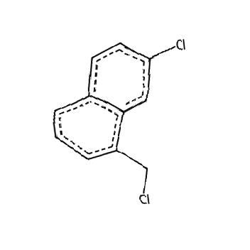 ClCc1cccc2ccc(Cl)cc12